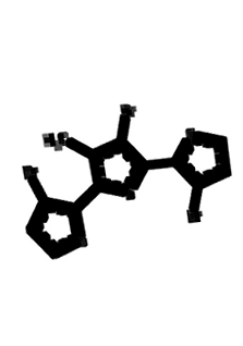 Cc1c(-c2sccc2Br)sc(-c2sccc2Br)c1Br